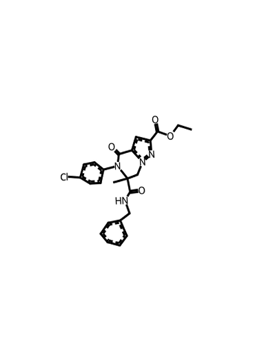 CCOC(=O)c1cc2n(n1)CC(C)(C(=O)NCc1ccccc1)N(c1ccc(Cl)cc1)C2=O